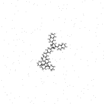 c1ccc(-c2nc3ccc(-c4ccc(-c5nc(-c6ccc7ccccc7c6)cc(-c6ccc7ccccc7c6)n5)cc4)cc3c3ccc4c(c5ccccc5n4-c4ccccc4)c23)cc1